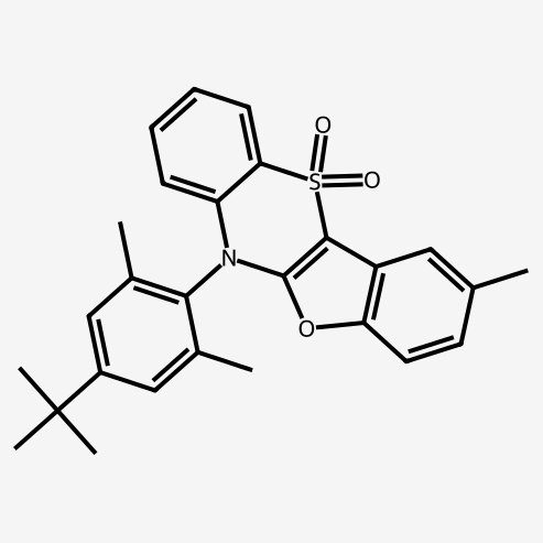 Cc1ccc2oc3c(c2c1)S(=O)(=O)c1ccccc1N3c1c(C)cc(C(C)(C)C)cc1C